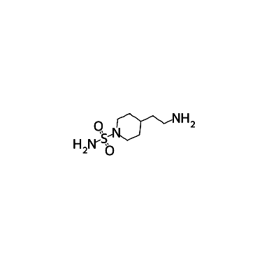 NCCC1CCN(S(N)(=O)=O)CC1